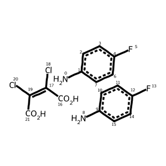 Nc1ccc(F)cc1.Nc1ccc(F)cc1.O=C(O)/C(Cl)=C(/Cl)C(=O)O